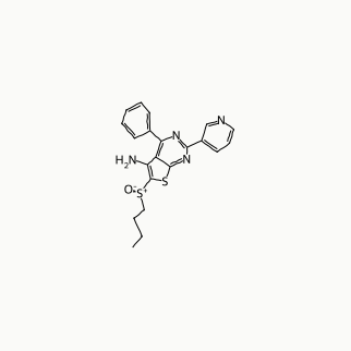 CCCC[S@@+]([O-])c1sc2nc(-c3cccnc3)nc(-c3ccccc3)c2c1N